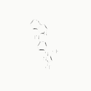 FC(F)(F)c1cc(C(F)(F)F)n(-c2ccc(Nc3nccc4ccccc34)cc2)n1